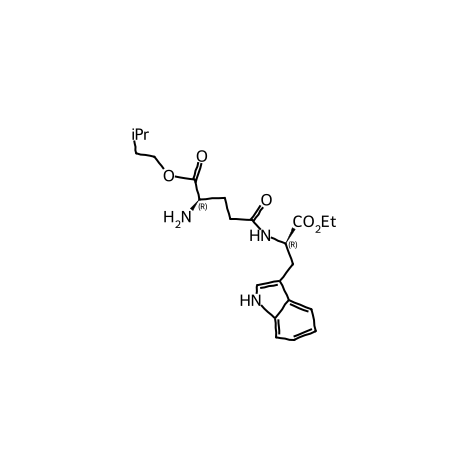 CCOC(=O)[C@@H](Cc1c[nH]c2ccccc12)NC(=O)CC[C@@H](N)C(=O)OCCC(C)C